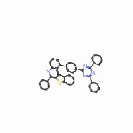 c1ccc(-c2nc(-c3ccccc3)nc(-c3ccc(-c4cccc5nc(-c6ccccc6)c6sc7ccccc7c6c45)cc3)n2)cc1